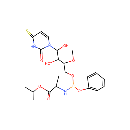 COC(COP(NC(C)C(=O)OC(C)C)Oc1ccccc1)C(O)C(O)n1ccc(=S)[nH]c1=O